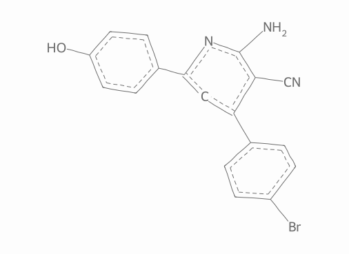 N#Cc1c(-c2ccc(Br)cc2)cc(-c2ccc(O)cc2)nc1N